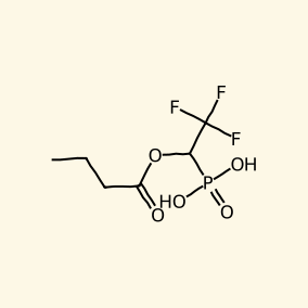 CCCC(=O)OC(C(F)(F)F)P(=O)(O)O